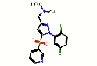 CN(Cc1cc(S(=O)(=O)c2cccnc2)n(-c2cc(F)ccc2F)n1)C(=O)O